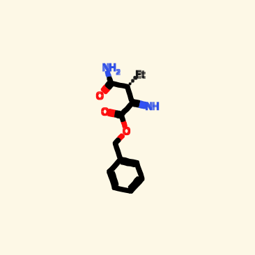 CC[C@H](C(=N)C(=O)OCc1ccccc1)C(N)=O